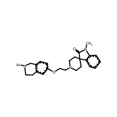 CC(=O)N1CCc2cc(OCCN3CCC4(CC3)C(=O)N(C)c3ccccc34)ccc2C1